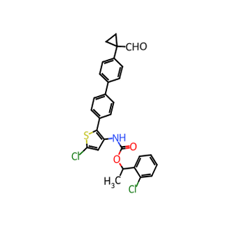 CC(OC(=O)Nc1cc(Cl)sc1-c1ccc(-c2ccc(C3(C=O)CC3)cc2)cc1)c1ccccc1Cl